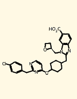 O=C(O)c1ccc2nc(CC3CCC(Oc4ccnc(Cc5ccc(Cl)cc5)n4)CC3)n(C[C@@H]3CCO3)c2c1